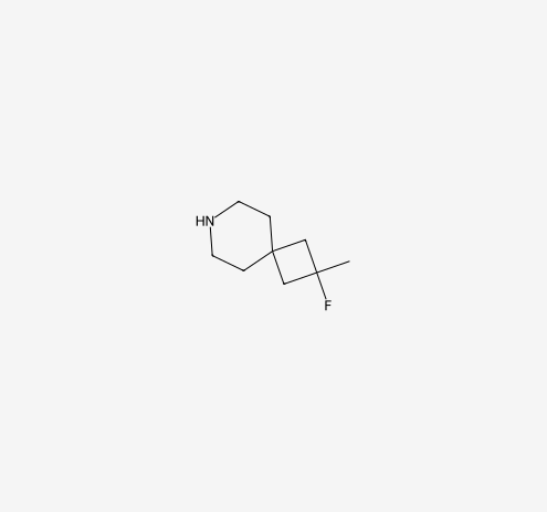 CC1(F)CC2(CCNCC2)C1